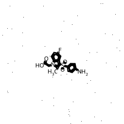 Cc1c(S(=O)(=O)c2ccc(N)cc2)c2cc(F)ccc2n1CC(=O)O